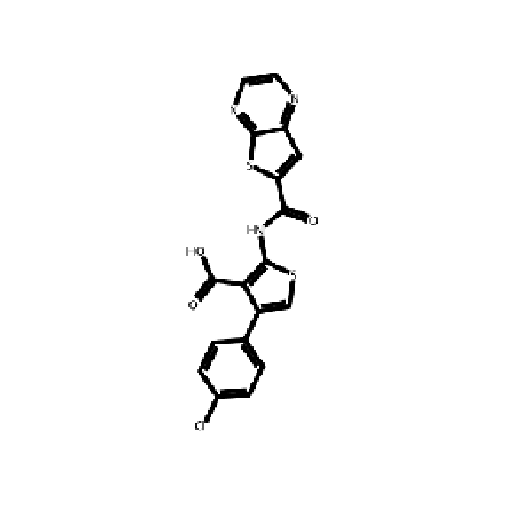 O=C(Nc1scc(-c2ccc(Cl)cc2)c1C(=O)O)c1cc2nccnc2s1